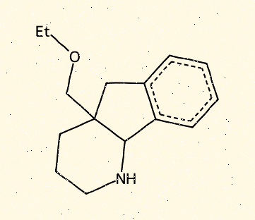 CCOCC12CCCNC1c1ccccc1C2